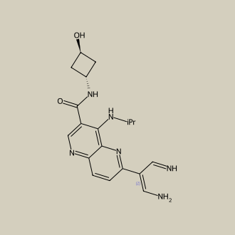 CC(C)Nc1c(C(=O)N[C@H]2C[C@H](O)C2)cnc2ccc(/C(C=N)=C/N)nc12